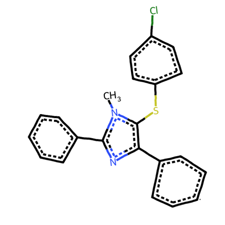 Cn1c(-c2ccccc2)nc(-c2cc[c]cc2)c1Sc1ccc(Cl)cc1